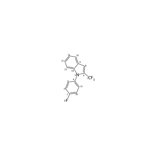 Fc1ccc(-n2c(C(F)(F)F)cc3ccccc32)cc1